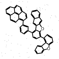 c1cc(-c2ccc3ccc4cccc5ccc2c3c45)cc(-c2ccc(-c3cccc4oc5ccccc5c34)c3oc4cc5ccccc5cc4c23)c1